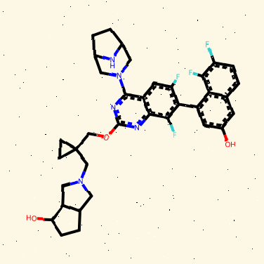 Oc1cc(-c2c(F)cc3c(N4CC5CCC(C4)N5)nc(OCC4(CN5CC6CCC(O)C6C5)CC4)nc3c2F)c2c(F)c(F)ccc2c1